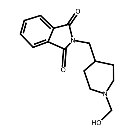 O=C1c2ccccc2C(=O)N1CC1CCN(CO)CC1